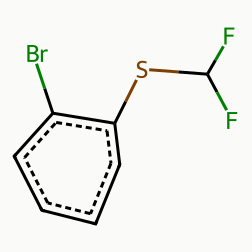 FC(F)Sc1ccccc1Br